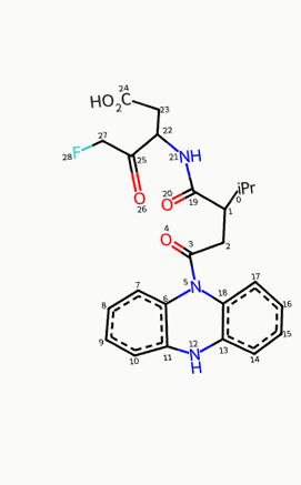 CC(C)C(CC(=O)N1c2ccccc2Nc2ccccc21)C(=O)NC(CC(=O)O)C(=O)CF